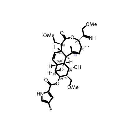 COCC(=N)[C@H]1OC(=O)[C@H](COC)[C@H]2C=C[C@H]3[C@H]4O[C@]2(/C(C)=C/[C@H]1C)[C@@H]3[C@H](O)[C@@H](COC)[C@H]4OC(=O)c1cc(F)c[nH]1